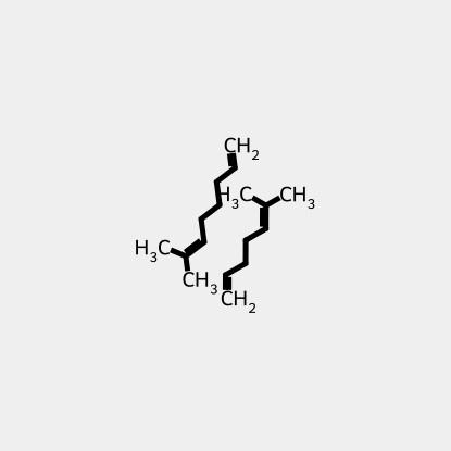 C=CCCC=C(C)C.C=CCCCC=C(C)C